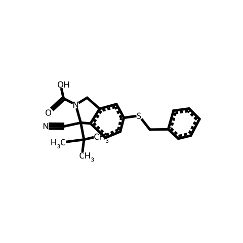 CC(C)(C)C1(C#N)c2ccc(SCc3ccccc3)cc2CN1C(=O)O